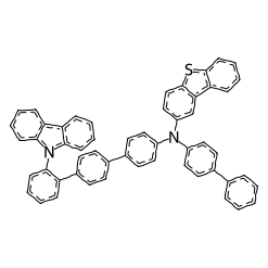 c1ccc(-c2ccc(N(c3ccc(-c4ccc(-c5ccccc5-n5c6ccccc6c6ccccc65)cc4)cc3)c3ccc4sc5ccccc5c4c3)cc2)cc1